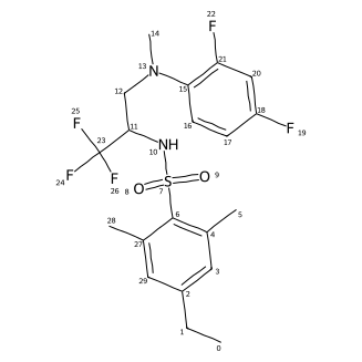 CCc1cc(C)c(S(=O)(=O)NC(CN(C)c2ccc(F)cc2F)C(F)(F)F)c(C)c1